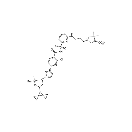 CC1(C)C[C@H](CCCNc2cccc(S(=O)(=O)NC(=O)c3ccc(-n4ccc(OCC(O[Si](C)(C)C(C)(C)C)C5C6(CC6)C56CC6)n4)nc3Cl)n2)CN1C(=O)O